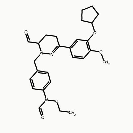 CCON(C=O)c1ccc(CN2N=C(c3ccc(OC)c(OC4CCCC4)c3)CCC2C=O)cc1